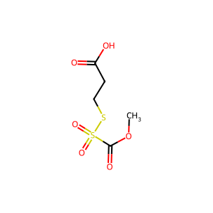 COC(=O)S(=O)(=O)SCCC(=O)O